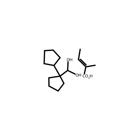 CC=C(C)C(=O)O.OC(O)C1(C2CCCC2)CCCC1